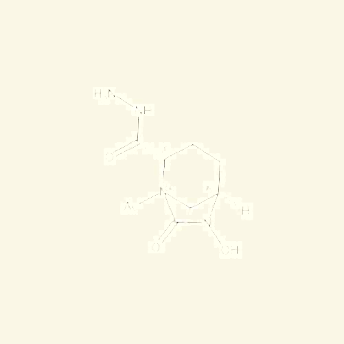 CC(=O)[N+]12C[C@@H](CC[C@H]1C(=O)NN)N(O)C2=O